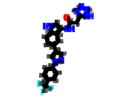 O=C(Cc1nnn[nH]1)Nc1c[nH]c2ccc(-c3cnn(-c4ccc(C(F)(F)F)cc4)c3)cc12